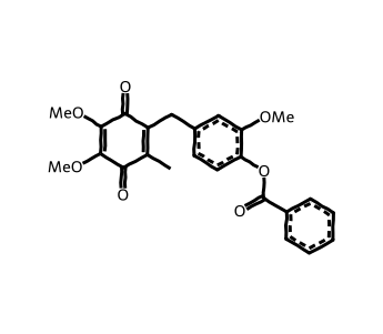 COC1=C(OC)C(=O)C(Cc2ccc(OC(=O)c3ccccc3)c(OC)c2)=C(C)C1=O